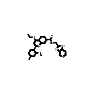 CCOc1cc(-c2ccc(C)cc2OC)nc2cc(C(=O)NCc3nc4cnccc4[nH]3)ccc12